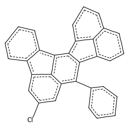 Clc1cc2c(-c3ccccc3)c3c4cccc5cccc(c54)c3c3c4ccccc4c(c1)c23